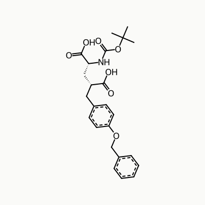 CC(C)(C)OC(=O)N[C@H](C[C@@H](Cc1ccc(OCc2ccccc2)cc1)C(=O)O)C(=O)O